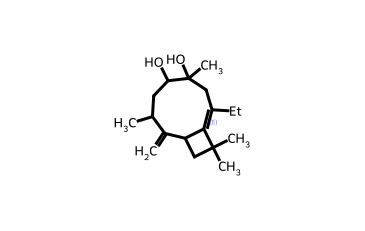 C=C1C(C)CC(O)C(C)(O)C/C(CC)=C2\C1CC2(C)C